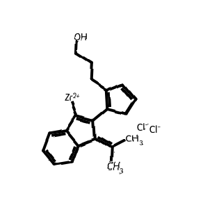 CC(C)=C1C(C2=C(CCCO)C=CC2)=[C]([Zr+2])c2ccccc21.[Cl-].[Cl-]